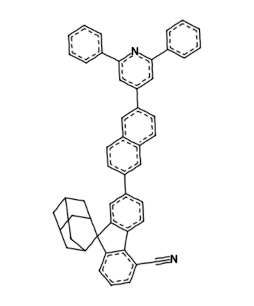 N#Cc1cccc2c1-c1ccc(-c3ccc4cc(-c5cc(-c6ccccc6)nc(-c6ccccc6)c5)ccc4c3)cc1C21C2CC3CC(C2)CC1C3